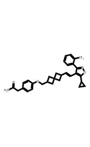 NC(=O)Cc1ccc(OCC2CC3(CC(C=Cc4c(-c5ccccc5C(F)(F)F)noc4C4CC4)C3)C2)cc1